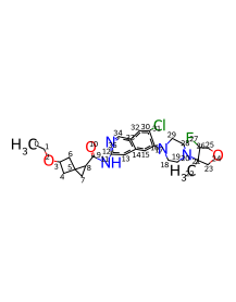 CCOC1CC2(C1)CC2C(=O)Nc1cc2cc(N3CCN(C4(C)COCC4F)CC3)c(Cl)cc2cn1